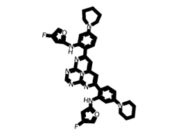 Fc1coc(Nc2cc(N3CCCCC3)ccc2C2=CC3=CC(c4ccc(N5CCCCC5)cc4Nc4cc(F)co4)=NC4=NC=NC(=N2)N34)c1